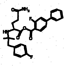 CC(C)(Cc1ccc(F)cc1)N[C@@H](CCC(N)=O)C(=O)OC(=O)c1ccc(-c2ccccc2)cc1F